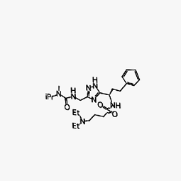 CCN(CC)CCCS(=O)(=O)N[C@H](CCc1ccccc1)c1nc(CNC(=O)N(C)C(C)C)n[nH]1